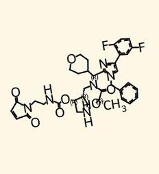 C[C@H](O)C(=O)N(C[C@H]1CNC[C@@H]1OC(=O)NCCN1C(=O)C=CC1=O)[C@@H](c1nc(-c2cc(F)ccc2F)cn1Cc1ccccc1)C1CCOCC1